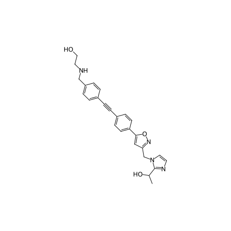 CC(O)c1nccn1Cc1cc(-c2ccc(C#Cc3ccc(CNCCO)cc3)cc2)on1